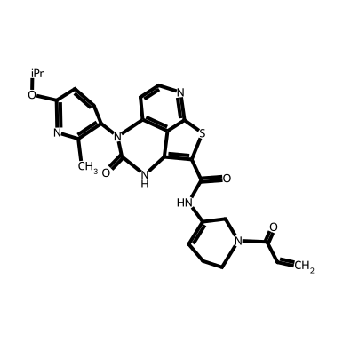 C=CC(=O)N1CCC=C(NC(=O)c2sc3nccc4c3c2NC(=O)N4c2ccc(OC(C)C)nc2C)C1